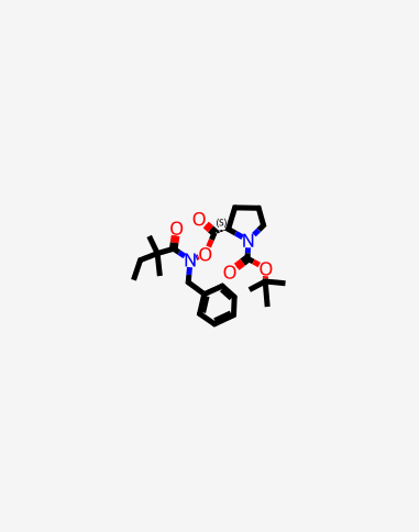 CCC(C)(C)C(=O)N(Cc1ccccc1)OC(=O)[C@@H]1CCCN1C(=O)OC(C)(C)C